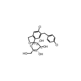 OC[C@H]1O[C@]2(OCc3cc(Cl)c(Cc4ccc(Cl)cc4)cc32)[C@H](O)[C@@H](O)[C@@H]1O